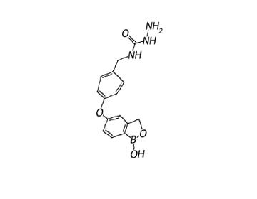 NNC(=O)NCc1ccc(Oc2ccc3c(c2)COB3O)cc1